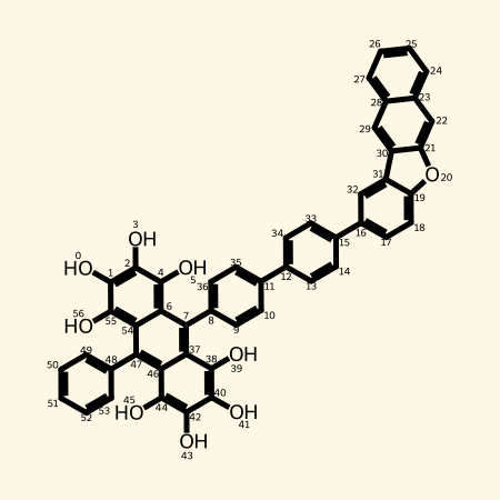 Oc1c(O)c(O)c2c(-c3ccc(-c4ccc(-c5ccc6oc7cc8ccccc8cc7c6c5)cc4)cc3)c3c(O)c(O)c(O)c(O)c3c(-c3ccccc3)c2c1O